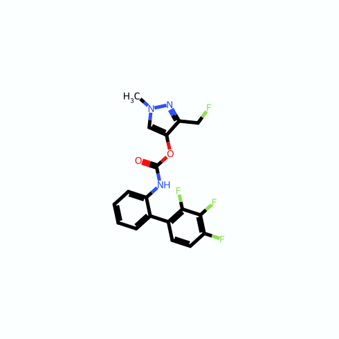 Cn1cc(OC(=O)Nc2ccccc2-c2ccc(F)c(F)c2F)c(CF)n1